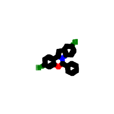 Clc1ccc2c(c1)cc1n2C(c2ccccc2)Oc2cc(Br)ccc2-1